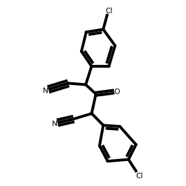 N#CC(C(=O)C(C#N)c1ccc(Cl)cc1)c1ccc(Cl)cc1